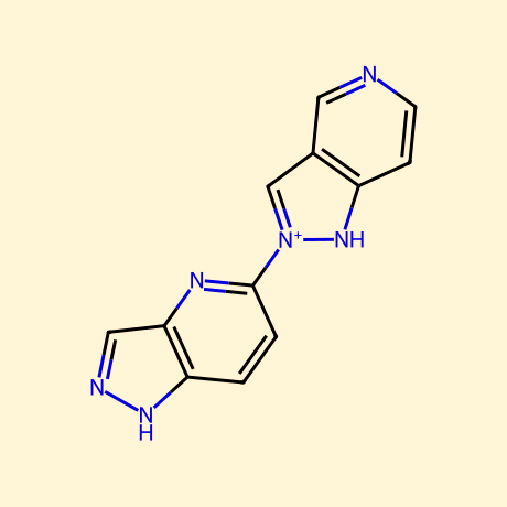 c1cc2[nH][n+](-c3ccc4[nH]ncc4n3)cc2cn1